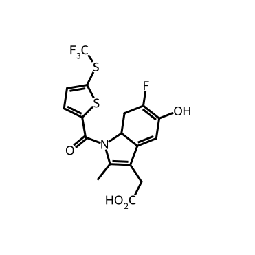 CC1=C(CC(=O)O)C2=CC(O)=C(F)CC2N1C(=O)c1ccc(SC(F)(F)F)s1